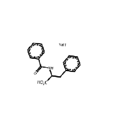 O=C(NC(Cc1ccccc1)C(=O)O)c1ccccc1.[NaH]